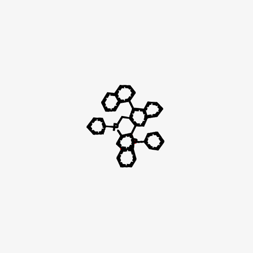 c1ccc(P(Cc2cc3ccccc3c(-c3cccc4ccccc34)c2CP(c2ccccc2)c2ccccc2)c2ccccc2)cc1